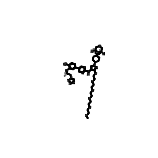 COCCOCCOCCOCCOCCOc1nn(C2CCC(N3[C@@H]4CC[C@H]3COC4)CC2)cc1Nc1ncc(-c2ccc(Cl)c(O[C@@H](C)Cn3cnnn3)c2)cn1